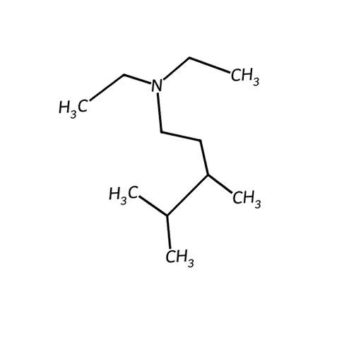 CCN(CC)CCC(C)C(C)C